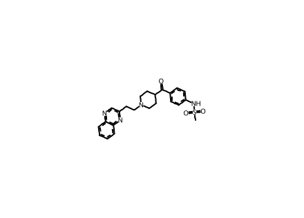 CS(=O)(=O)Nc1ccc(C(=O)C2CCN(CCc3cnc4ccccc4n3)CC2)cc1